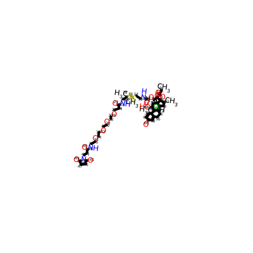 CCC(=O)O[C@]1(C(=O)COC(=O)NCCSSC(C)(C)CNC(=O)CCOCCOCCOCCOCCNC(=O)CCN2C(=O)C=CC2=O)[C@@H](C)CC2[C@@H]3CCC4=CC(=O)C=C[C@]4(C)[C@@]3(Cl)[C@@H](O)C[C@@]21C